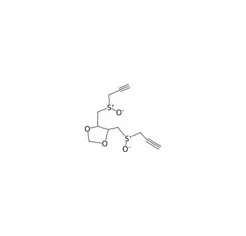 C#CC[S+]([O-])CC1OCOC1C[S+]([O-])CC#C